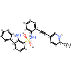 O=C(O)c1ccc(C#Cc2ccccc2NS(=O)(=O)c2cccc3c2[nH]c2ccccc23)cn1